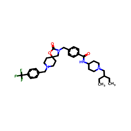 CCC(CC)CN1CCC(NC(=O)c2ccc(CN3CC4(CCN(Cc5ccc(C(F)(F)F)cc5)CC4)OC3=O)cc2)CC1